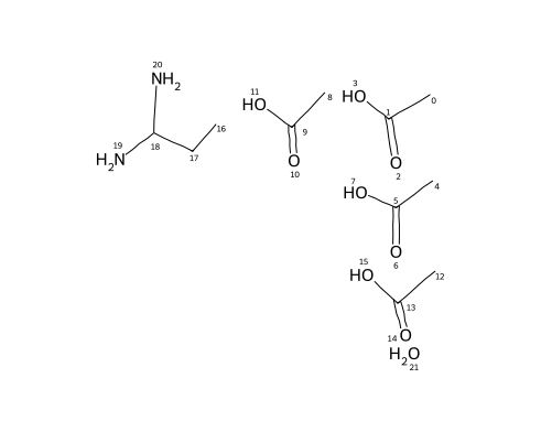 CC(=O)O.CC(=O)O.CC(=O)O.CC(=O)O.CCC(N)N.O